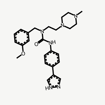 COc1cccc(CN(CCN2CCN(C)CC2)C(=O)Nc2ccc(-c3cn[nH]c3)cc2)c1